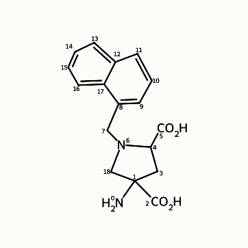 NC1(C(=O)O)CC(C(=O)O)N(Cc2cccc3ccccc23)C1